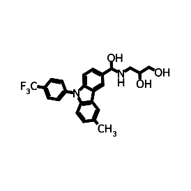 Cc1ccc2c(c1)c1cc(C(O)NCC(O)CO)ccc1n2-c1ccc(C(F)(F)F)cc1